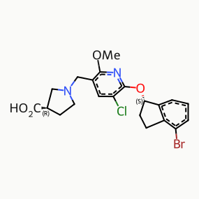 COc1nc(O[C@H]2CCc3c(Br)cccc32)c(Cl)cc1CN1CC[C@@H](C(=O)O)C1